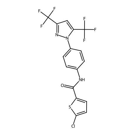 O=C(Nc1ccc(-n2nc(C(F)(F)F)cc2C(F)(F)F)cc1)c1ccc(Cl)s1